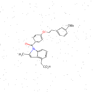 COc1cccc(CCOc2ccc(C(=O)n3c(C)cc4c(CC(=O)O)cccc43)cc2)c1